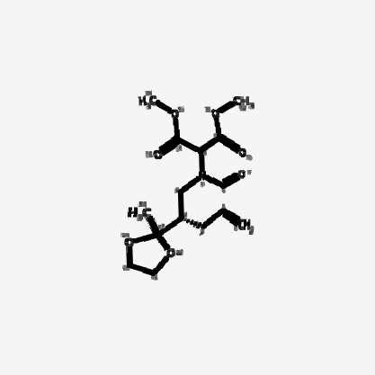 C=CC[C@@H](CN(C=O)C(C(=O)OC)C(=O)OC)C1(C)OCCO1